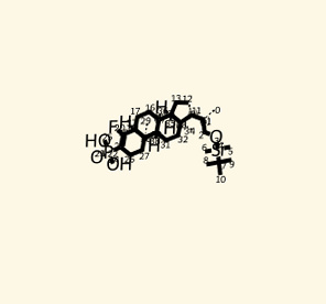 C[C@H](CO[Si](C)(C)C(C)(C)C)[C@H]1CC[C@H]2[C@@H]3CC[C@H]4C(F)=C(P(=O)(O)O)CC[C@]4(C)[C@H]3CC[C@]12C